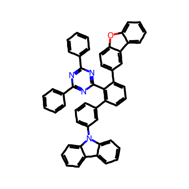 c1ccc(-c2nc(-c3ccccc3)nc(-c3c(-c4cccc(-n5c6ccccc6c6ccccc65)c4)cccc3-c3ccc4oc5ccccc5c4c3)n2)cc1